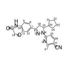 Cc1nc(N2N=C(c3ccc4c(c3)OCC(=O)N4)CC2C2CCCC2)ccc1C#N